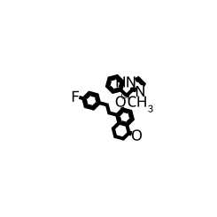 C[C@](Oc1ccc2c(c1CCc1ccc(F)cc1)CCCC2=O)(c1ccccc1)c1ncc[nH]1